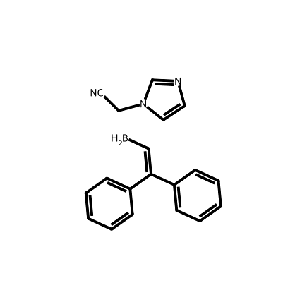 BC=C(c1ccccc1)c1ccccc1.N#CCn1ccnc1